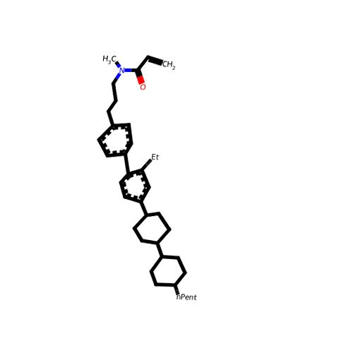 C=CC(=O)N(C)CCCc1ccc(-c2ccc(C3CCC(C4CCC(CCCCC)CC4)CC3)cc2CC)cc1